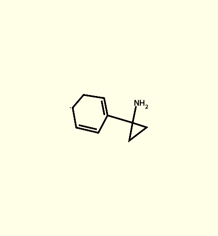 NC1(C2=CC[CH]C=C2)CC1